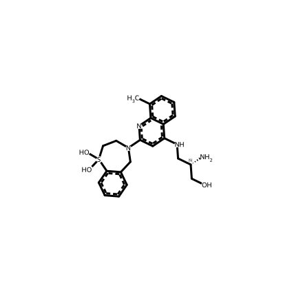 Cc1cccc2c(NC[C@H](N)CO)cc(N3CCS(O)(O)c4ccccc4C3)nc12